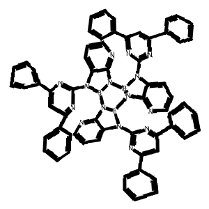 c1ccc(-c2cc(-c3ccccc3)nc(N3B4N(B5N(B6N4c4ncccc4N6c4nc(-c6ccccc6)cc(-c6ccccc6)n4)c4ncccc4N5c4nc(-c5ccccc5)cc(-c5ccccc5)n4)c4ncccc43)n2)cc1